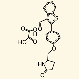 O=C(O)C(=O)O.O=Cc1c(-c2ccc(OCC3CCC(=O)N3)cc2)sc2ccccc12